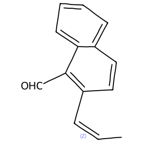 C/C=C\c1ccc2ccccc2c1C=O